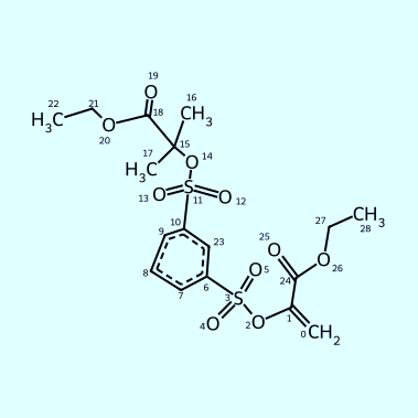 C=C(OS(=O)(=O)c1cccc(S(=O)(=O)OC(C)(C)C(=O)OCC)c1)C(=O)OCC